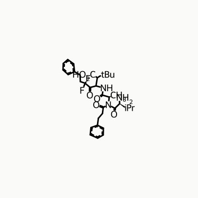 CC(C)[C@H](N)C(=O)N(C(=O)CCc1ccccc1)[C@@H](C)C(=O)NC(C(=O)C(F)(F)CCc1ccccc1)C(C(=O)O)C(C)(C)C